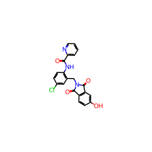 O=C(Nc1ccc(Cl)cc1CN1C(=O)c2ccc(O)cc2C1=O)c1ccccn1